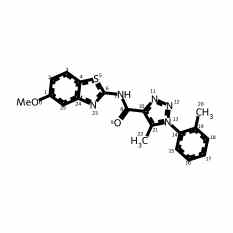 COc1ccc2sc(NC(=O)c3nnn(-c4ccccc4C)c3C)nc2c1